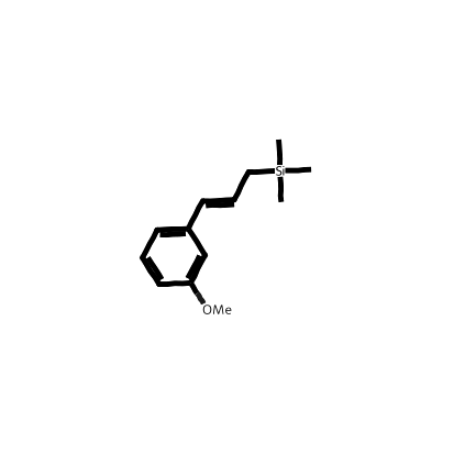 COc1cccc(C=CC[Si](C)(C)C)c1